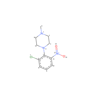 CN1CCN(c2c(Cl)cccc2[N+](=O)[O-])CC1